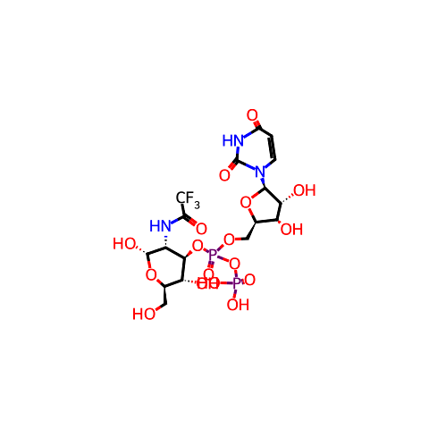 O=C(N[C@@H]1[C@@H](OP(=O)(OC[C@H]2O[C@@H](n3ccc(=O)[nH]c3=O)[C@H](O)[C@@H]2O)OP(=O)(O)O)[C@H](O)[C@@H](CO)O[C@@H]1O)C(F)(F)F